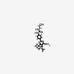 Nc1cc(C2(S(=O)(=O)C3CC3)CCC2)nc(-c2ccc(NC(=O)NCCO)cc2)n1